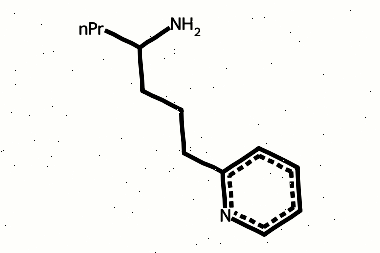 CCCC(N)CCCc1ccccn1